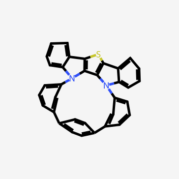 c1ccc2c(c1)c1sc3c4ccccc4n4c5cccc(c5)c5ccc(cc5)c5cccc(c5)n2c1c34